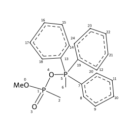 COP(C)(=O)OP(C)(c1ccccc1)(c1ccccc1)c1ccccc1